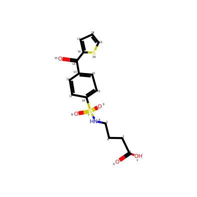 O=C(O)CCCNS(=O)(=O)c1ccc(C(=O)c2cccs2)cc1